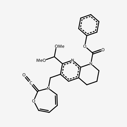 COC(OC)c1nc2c(cc1CN1C=CC=COC1=C=O)CCCN2C(=O)Oc1ccccc1